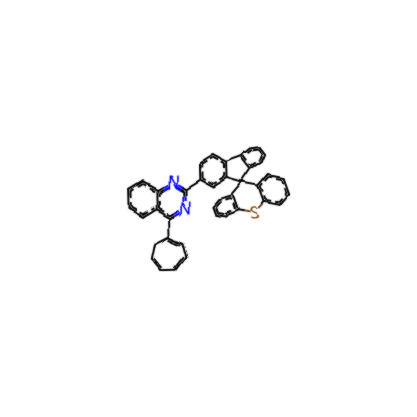 C1=CC=C(c2nc(-c3ccc4c(c3)C3(c5ccccc5Sc5ccccc53)c3ccccc3-4)nc3ccccc23)CC=C1